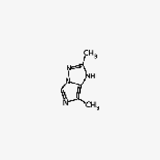 Cc1nn2cnc(C)c2[nH]1